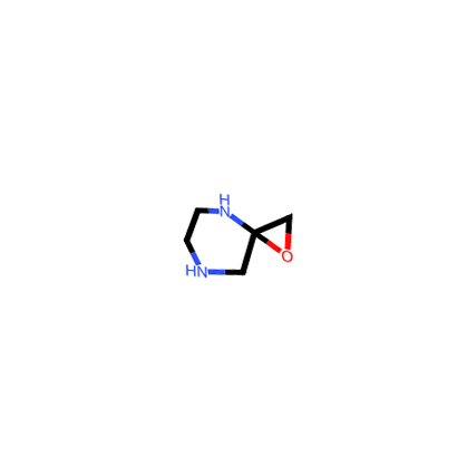 C1CNC2(CN1)CO2